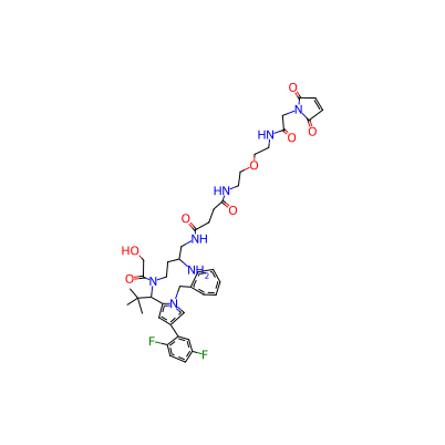 CC(C)(C)C(c1cc(-c2cc(F)ccc2F)cn1Cc1ccccc1)N(CCC(N)CNC(=O)CCC(=O)NCCOCCNC(=O)CN1C(=O)C=CC1=O)C(=O)CO